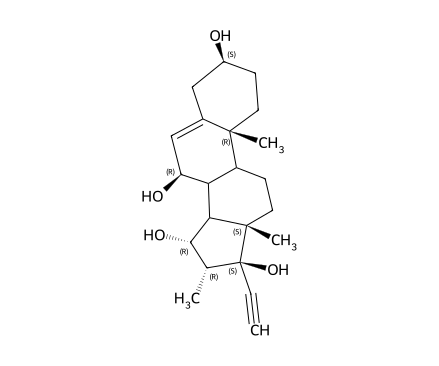 C#C[C@]1(O)[C@H](C)[C@H](O)C2C3C(CC[C@@]21C)[C@@]1(C)CC[C@H](O)CC1=C[C@@H]3O